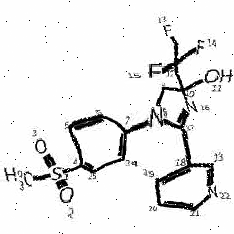 CS(=O)(=O)c1ccc(N2CC(O)(C(F)(F)F)N=C2c2cccnc2)cc1